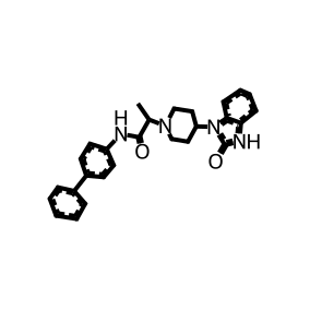 CC(C(=O)Nc1ccc(-c2ccccc2)cc1)N1CCC(n2c(=O)[nH]c3ccccc32)CC1